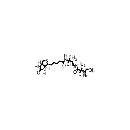 CC(C)(CCNC(=O)C(C)(C)NCO)NC(=O)CCCC[C@@H]1SC[C@@H]2NC(=O)N[C@@H]21